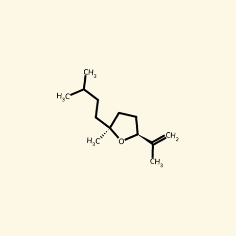 C=C(C)[C@@H]1CC[C@](C)(CCC(C)C)O1